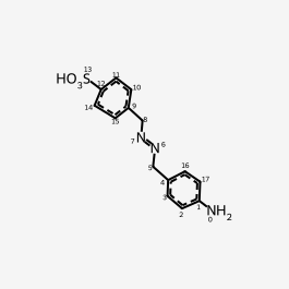 Nc1ccc(CN=NCc2ccc(S(=O)(=O)O)cc2)cc1